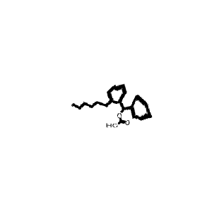 CCCCCCc1ccccc1C(OC(=O)O)c1ccccc1